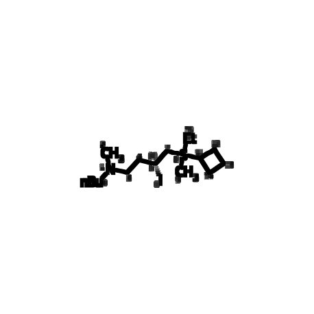 CCCCN(C)CC[C@@H](I)CS(C)(CC)C1CCC1